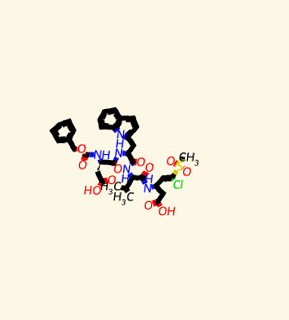 CC(C)C(NC(=O)C(Cc1ccc2ccccc2n1)NC(=O)[C@H](CC(=O)O)NC(=O)OCc1ccccc1)C(=O)NC(/C=C(\Cl)S(C)(=O)=O)CC(=O)O